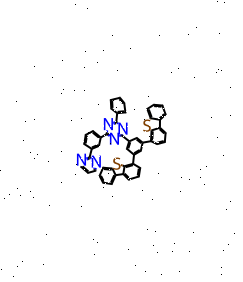 c1ccc(-c2nc(-c3cccc(-c4ncccn4)c3)nc(-c3cc(-c4cccc5c4sc4ccccc45)cc(-c4cccc5c4sc4ccccc45)c3)n2)cc1